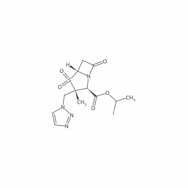 CC(I)OC(=O)[C@@H]1N2C(=O)C[C@H]2S(=O)(=O)[C@@]1(C)Cn1ccnn1